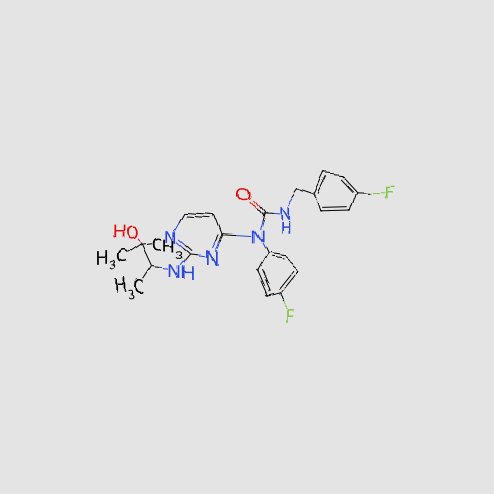 CC(Nc1nccc(N(C(=O)NCc2ccc(F)cc2)c2ccc(F)cc2)n1)C(C)(C)O